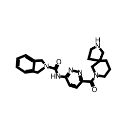 O=C(Nc1ccc(C(=O)N2CCCC3(CCNC3)C2)nn1)N1Cc2ccccc2C1